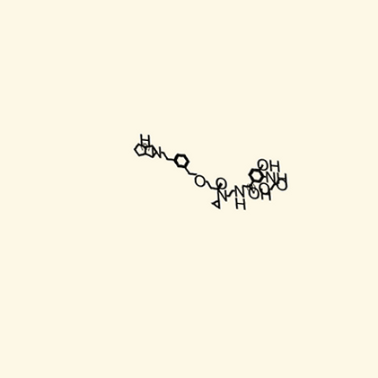 O=C1COc2c([C@@H](O)CNCCN(C(=O)CCOCCc3cccc(CCN4CC5CCC[C@H]5C4)c3)C3CC3)ccc(O)c2N1